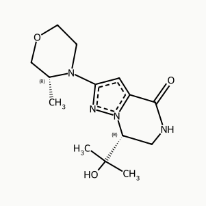 C[C@@H]1COCCN1c1cc2n(n1)[C@@H](C(C)(C)O)CNC2=O